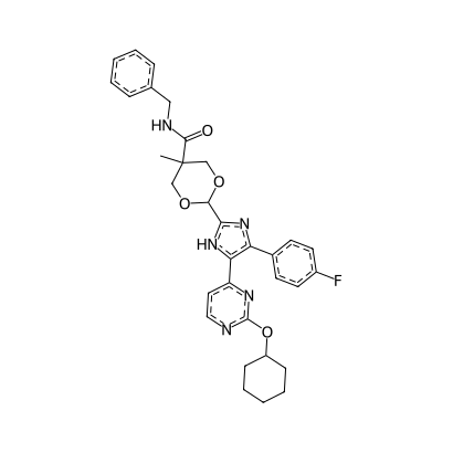 CC1(C(=O)NCc2ccccc2)COC(c2nc(-c3ccc(F)cc3)c(-c3ccnc(OC4CCCCC4)n3)[nH]2)OC1